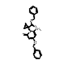 Cc1cc(OCc2ccccc2)cc(=O)n1C1(C(=O)OCc2ccccc2)CC1